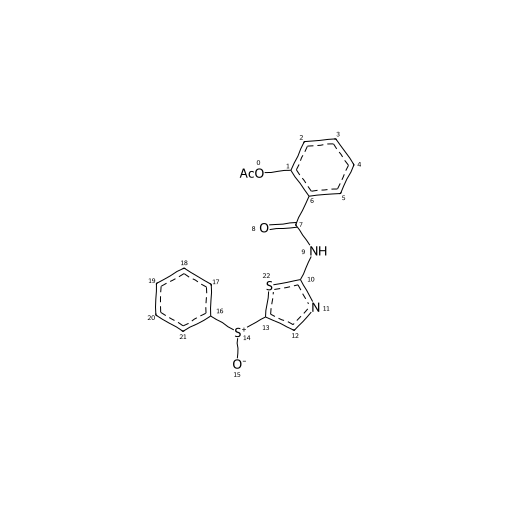 CC(=O)Oc1ccccc1C(=O)Nc1ncc([S+]([O-])c2ccccc2)s1